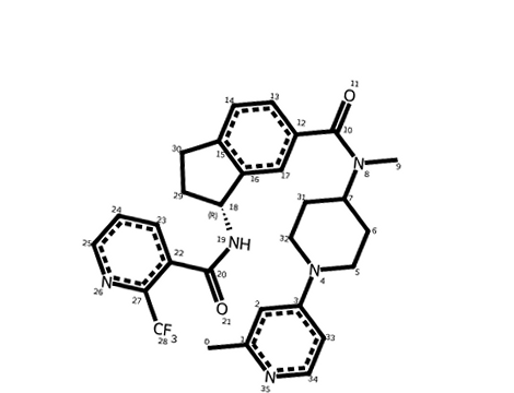 Cc1cc(N2CCC(N(C)C(=O)c3ccc4c(c3)[C@H](NC(=O)c3cccnc3C(F)(F)F)CC4)CC2)ccn1